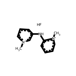 C[n+]1cccc(Nc2cccc[n+]2C)c1.F